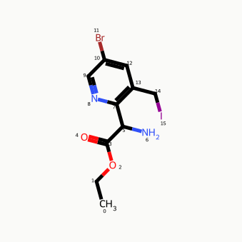 CCOC(=O)C(N)c1ncc(Br)cc1CI